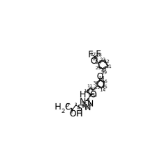 C=C(O)CSc1nnc(-c2ccc(-c3cccc(OCc4cccc(OC(F)F)c4)c3)o2)[nH]1